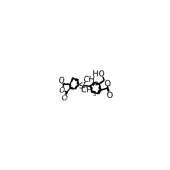 C[Si](C)(c1ccc2c(c1)C(=O)OC2=O)c1ccc2c(c1)C(O)OC2=O